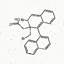 O=C(O)CC1(CBr)C(c2cccc3ccccc23)=c2ccccc2=CC1Br